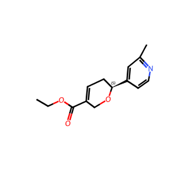 CCOC(=O)C1=CC[C@@H](c2ccnc(C)c2)OC1